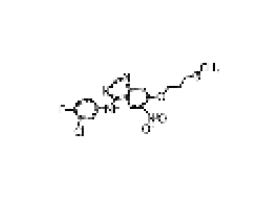 COCCCOc1cc2ncnc(Nc3ccc(F)c(Cl)c3)c2cc1[N+](=O)[O-]